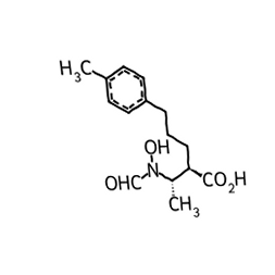 Cc1ccc(CCC[C@@H](C(=O)O)[C@H](C)N(O)C=O)cc1